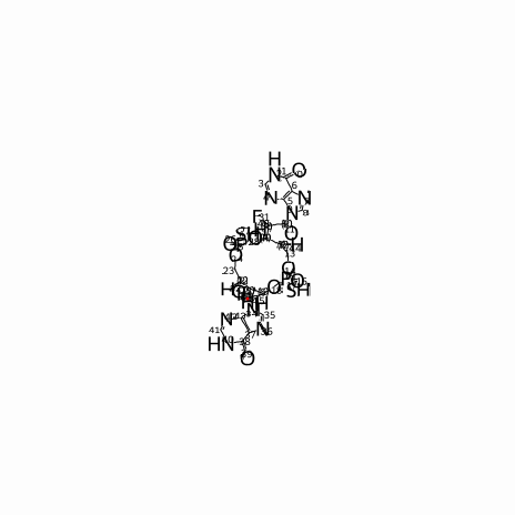 O=c1[nH]cnc2c1ncn2[C@@H]1O[C@@H]2COP(=O)(S)O[C@@H]3[C@@H](F)[C@@H](COP(=O)(S)O[C@H]2[C@H]1F)O[C@H]3n1cnc2c(=O)[nH]cnc21